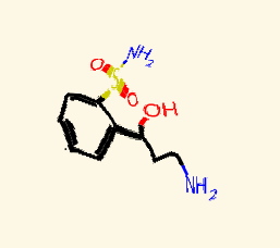 NCCC(O)c1c[c]ccc1S(N)(=O)=O